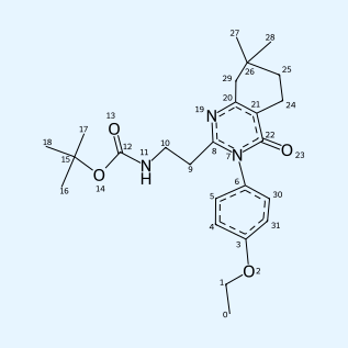 CCOc1ccc(-n2c(CCNC(=O)OC(C)(C)C)nc3c(c2=O)CCC(C)(C)C3)cc1